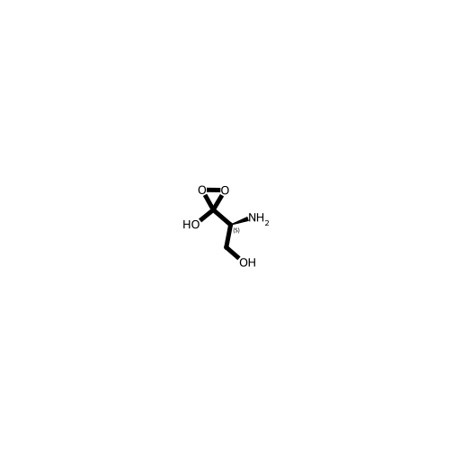 N[C@@H](CO)C1(O)OO1